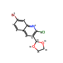 Clc1nc2cc(Br)ccc2cc1C1OCCO1